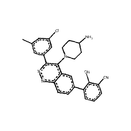 Cc1cc(Cl)cc(-c2nnc3ccc(-c4cccc(C#N)c4O)cc3c2N2CCC(N)CC2)c1